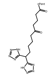 CCCCCC(=O)CCCC(=O)CCCCC(c1nnn[nH]1)c1nnn[nH]1